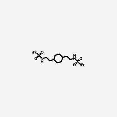 CC(C)S(=O)(=O)NCCC1CCC(CCNS(=O)(=O)C(C)C)CC1